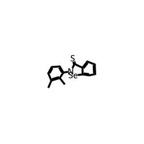 Cc1cccc(-n2[se]c3ccccc3c2=S)c1C